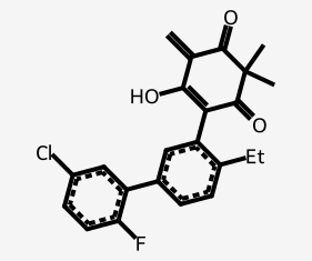 C=C1C(=O)C(C)(C)C(=O)C(c2cc(-c3cc(Cl)ccc3F)ccc2CC)=C1O